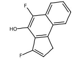 Oc1c2c(c3ccccc3c1F)CC=C2F